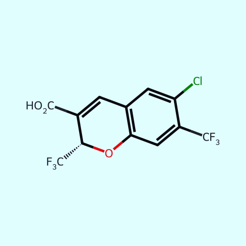 O=C(O)C1=Cc2cc(Cl)c(C(F)(F)F)cc2O[C@@H]1C(F)(F)F